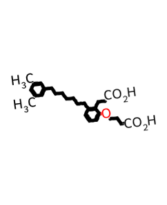 Cc1cc(C)cc(CCCCCCCc2cccc(OCCCC(=O)O)c2CCC(=O)O)c1